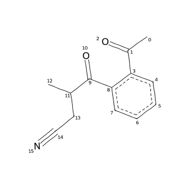 CC(=O)c1ccccc1C(=O)C(C)CC#N